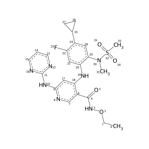 CCONC(=O)c1cnc(Nc2ncccn2)cc1Nc1cc(F)c(C2CC2)cc1N(C)S(C)(=O)=O